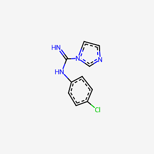 N=C(Nc1ccc(Cl)cc1)n1ccnc1